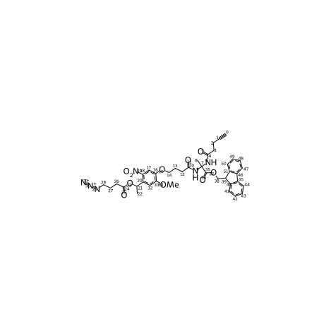 C#CCCC(=O)NC(C)(NC(=O)CCCOc1cc([N+](=O)[O-])c(C(C)OC(=O)CCCN=[N+]=[N-])cc1OC)C(=O)OCC1c2ccccc2-c2ccccc21